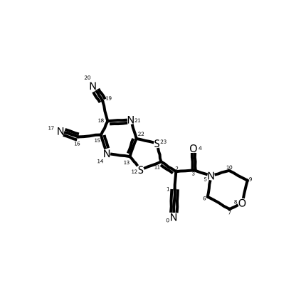 N#CC(C(=O)N1CCOCC1)=C1Sc2nc(C#N)c(C#N)nc2S1